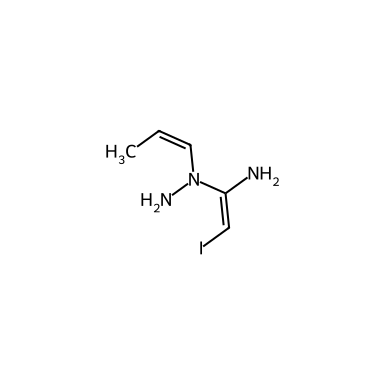 C/C=C\N(N)/C(N)=C\I